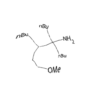 CCCCC(COC)C(N)(CCCC)CCCC